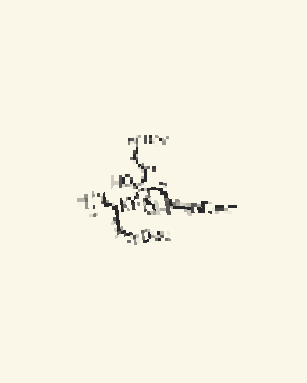 CCCCCCCCCCCCN.CCCCCCCCCCCCP(O)(O)(O)CCCCCCCCCCCC